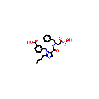 CCCCc1ncc(C(=O)NC(CC(=O)NO)Cc2ccccc2)n1Cc1cccc(C(=O)O)c1